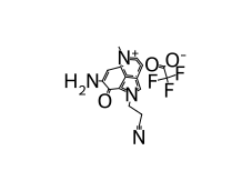 C[n+]1ccc2cn(CCC#N)c3c2c1C=C(N)C3=O.O=C([O-])C(F)(F)F